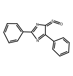 O=S=C1N=C(c2ccccc2)N=C1c1ccccc1